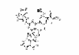 C=C(F)C(=O)N1CCN(c2nc(OCC34CCCN3CCC4)nc3c2[C@H](C)O[C@H](c2cccc4cccc(C)c24)C3)C[C@@H]1CC#N